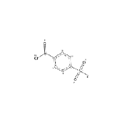 CS(=O)(=O)c1ccc(C(=O)Cl)cc1